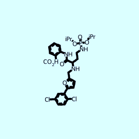 CC(C)OP(=O)(NCCC(NCc1ccc(-c2cc(Cl)ccc2Cl)o1)C(=O)Nc1ccccc1C(=O)O)OC(C)C